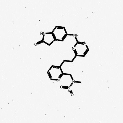 CN(Cc1ncccc1CCc1ccnc(Nc2ccc3c(c2)CC(=O)N3)n1)[SH](=O)=O